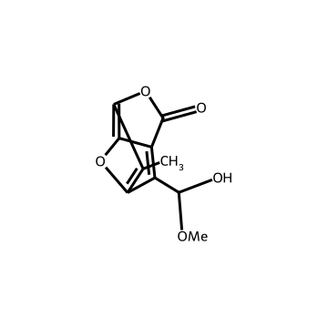 COC(O)c1c2c3oc1c(C)c3OC2=O